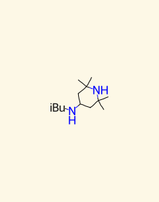 CCC(C)NC1CC(C)(C)NC(C)(C)C1